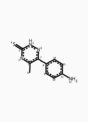 Cc1nc(=S)[nH]nc1-c1ccc(N)cc1